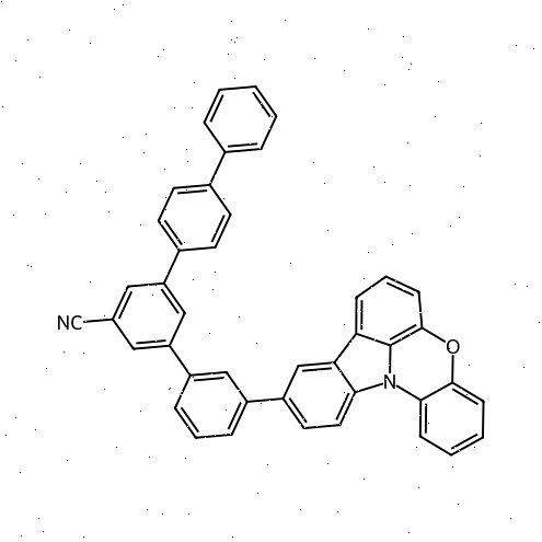 N#Cc1cc(-c2ccc(-c3ccccc3)cc2)cc(-c2cccc(-c3ccc4c(c3)c3cccc5c3n4-c3ccccc3O5)c2)c1